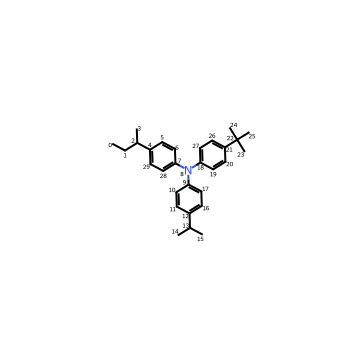 CCC(C)c1ccc(N(c2ccc(C(C)C)cc2)c2ccc(C(C)(C)C)cc2)cc1